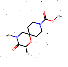 CCCN1CC2(CCN(C(=O)OC(C)(C)C)CC2)O[C@@H](C)C1=O